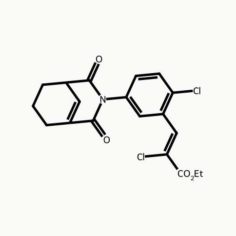 CCOC(=O)C(Cl)=Cc1cc(N2C(=O)C3=CC(CCC3)C2=O)ccc1Cl